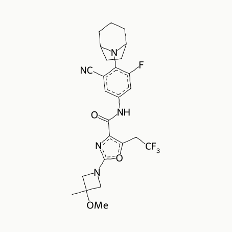 COC1(C)CN(c2nc(C(=O)Nc3cc(F)c(N4C5CCCC4CC5)c(C#N)c3)c(CC(F)(F)F)o2)C1